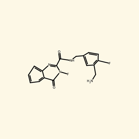 NCc1cc(CNC(=O)c2nc3ccccc3c(=O)n2F)ccc1F